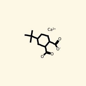 CC(C)(C)C1CCC(C(=O)[O-])C(C(=O)[O-])C1.[Ca+2]